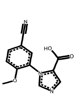 COc1ccc(C#N)cc1-n1cncc1C(=O)O